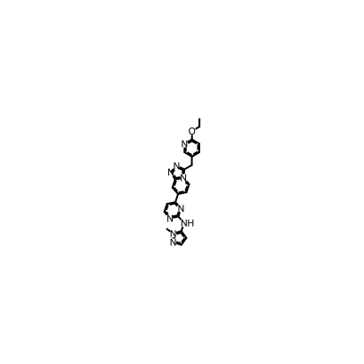 CCOc1ccc(Cc2nnc3cc(-c4ccnc(Nc5ccnn5C)n4)ccn23)cn1